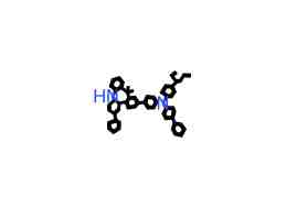 C=C/C=C(\C=C)c1ccc(N(c2ccc(-c3ccccc3)cc2)c2ccc(-c3ccc4c(c3)C(C)(C)c3ccccc3NC3C=CC(c5ccccc5)=CC43)cc2)cc1